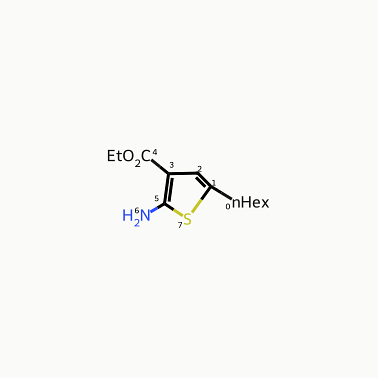 CCCCCCc1cc(C(=O)OCC)c(N)s1